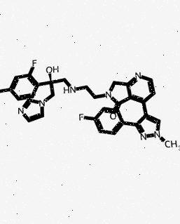 Cn1cc(-c2ccnc3c2C(=O)N(CCNC[C@](O)(Cn2ccnc2)c2ccc(F)cc2F)C3)c(-c2ccc(F)cc2)n1